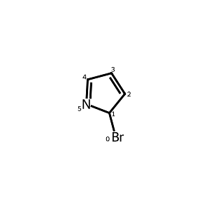 BrC1C=CC=N1